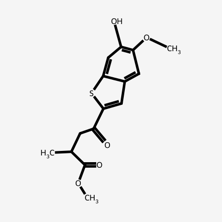 COC(=O)C(C)CC(=O)c1cc2cc(OC)c(O)cc2s1